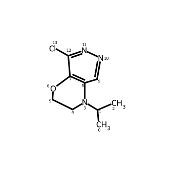 CC(C)N1CCOc2c1cnnc2Cl